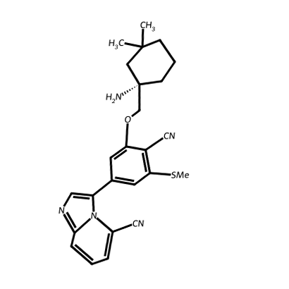 CSc1cc(-c2cnc3cccc(C#N)n23)cc(OC[C@]2(N)CCCC(C)(C)C2)c1C#N